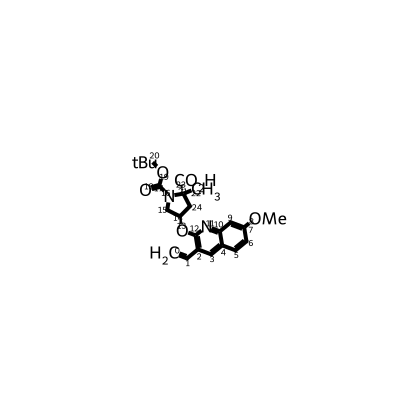 C=Cc1cc2ccc(OC)cc2nc1O[C@H]1CN(C(=O)OC(C)(C)C)[C@](C)(C(=O)O)C1